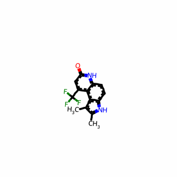 Cc1[nH]c2ccc3[nH]c(=O)cc(C(F)(F)F)c3c2c1C